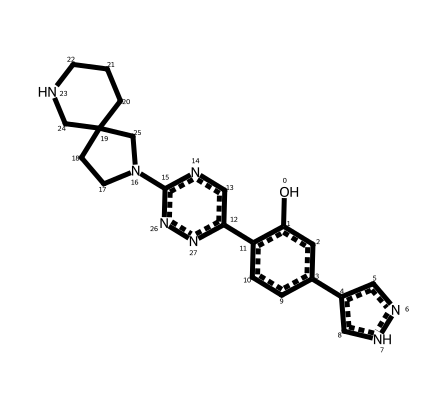 Oc1cc(-c2cn[nH]c2)ccc1-c1cnc(N2CCC3(CCCNC3)C2)nn1